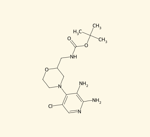 CC(C)(C)OC(=O)NCC1CN(c2c(Cl)cnc(N)c2N)CCO1